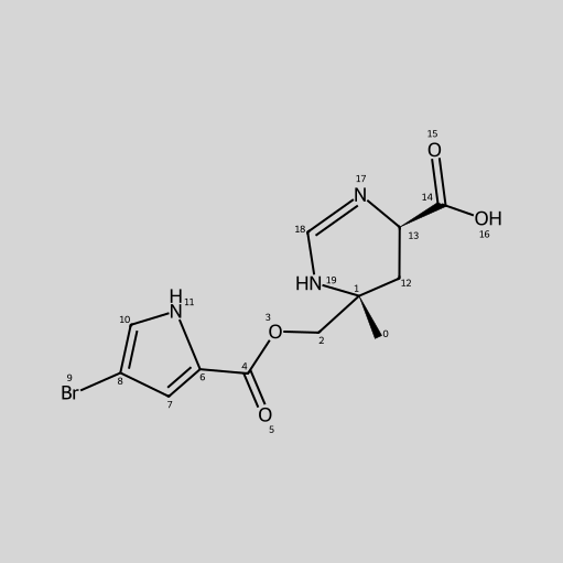 C[C@]1(COC(=O)c2cc(Br)c[nH]2)C[C@H](C(=O)O)N=CN1